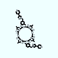 CC(C)C[C@H]1C(=O)O[C@H](Cc2cccc(Cn3cc(-c4ccncc4)cn3)c2)C(=O)N(C)[C@@H](CC(C)C)C(=O)O[C@H](C)C(=O)N(C)[C@@H](CC(C)C)C(=O)O[C@H](Cc2ccc(Cn3cc(-c4ccncc4)cn3)cc2)C(=O)N(C)[C@@H](CC(C)C)C(=O)O[C@H](C)C(=O)N1C